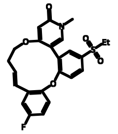 CCS(=O)(=O)c1ccc2c(c1)-c1cn(C)c(=O)cc1OCC/C=C/c1cc(F)ccc1O2